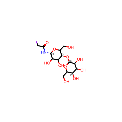 O=C(CI)N[C@@H]1OC(CO)[C@@H](O[C@@H]2OC(CO)[C@H](O)C(O)C2O)C(O)C1O